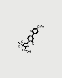 COc1ccc(-c2ccn(CC[C@@](C)(C(=O)NO)S(C)(=O)=O)c(=O)c2)c(F)c1